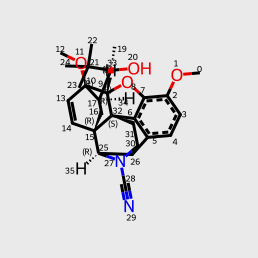 COc1ccc2c3c1O[C@H]1[C@@]4(OC)C=C[C@@]5(C[C@@H]4[C@](C)(O)C(C)(C)C)[C@@H](C2)N(C#N)CC[C@]315